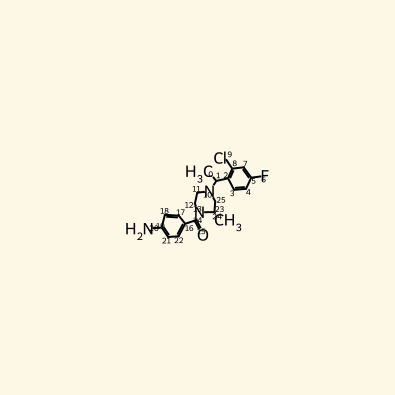 CC(c1ccc(F)cc1Cl)N1CCN(C(=O)c2ccc(N)cc2)C(C)C1